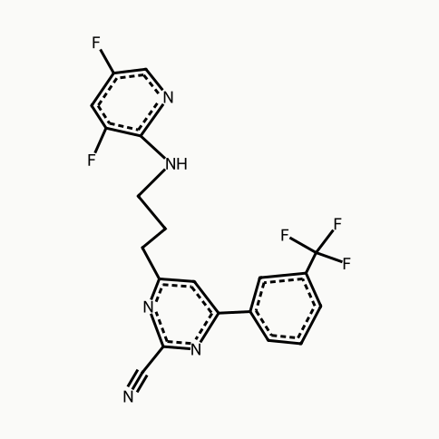 N#Cc1nc(CCCNc2ncc(F)cc2F)cc(-c2cccc(C(F)(F)F)c2)n1